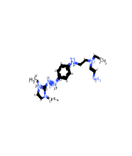 CCN(CCN)CCNc1ccc(/N=N/C2N(C)C=CN2C)cc1